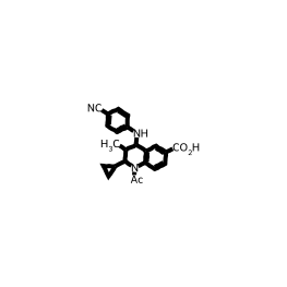 CC(=O)N1c2ccc(C(=O)O)cc2C(Nc2ccc(C#N)cc2)C(C)C1C1CC1